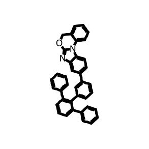 c1ccc(-c2cccc(-c3ccccc3)c2-c2cccc(-c3ccc4c(c3)nc3n4-c4ccccc4CO3)c2)cc1